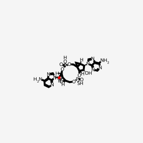 Nc1ncnc2c1ncn2[C@H]1[C@H](O)[C@@H]2O[P@@](=O)(S)OC[C@H]3O[C@@H](n4cnc5c(N)ccnc54)[C@H](OP(=O)(O)OCC24C[C@H]14)[C@@H]3O